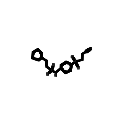 N#CC=CS(=O)(=O)c1ccc(NS(=O)(=O)C=Cc2ccccc2)cc1